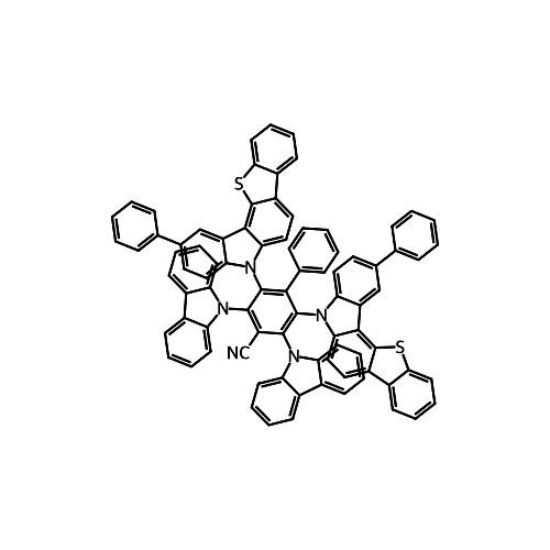 N#Cc1c(-n2c3ccccc3c3ccccc32)c(-n2c3ccc(-c4ccccc4)cc3c3c4sc5ccccc5c4ccc32)c(-c2ccccc2)c(-n2c3ccc(-c4ccccc4)cc3c3c4sc5ccccc5c4ccc32)c1-n1c2ccccc2c2ccccc21